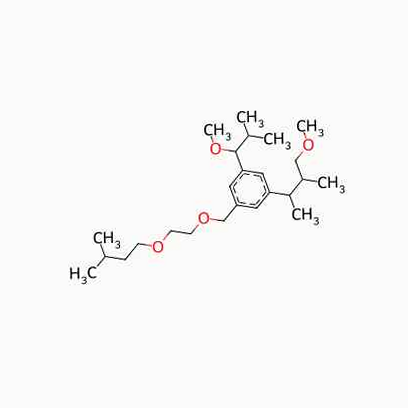 COCC(C)C(C)c1cc(COCCOCCC(C)C)cc(C(OC)C(C)C)c1